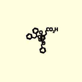 O=C(O)CCC(C[PH](=O)OCc1ccccc1)C(=O)OC(Cc1ccccc1)c1ccccc1